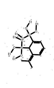 CCO[Si](OCC)(OCC)C1=CC=CC(=C(C)C)C1[Si](OCC)(OCC)OCC